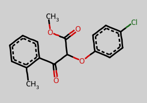 COC(=O)C(Oc1ccc(Cl)cc1)C(=O)c1ccccc1C